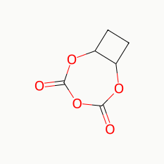 O=C1OC(=O)OC2CCC2O1